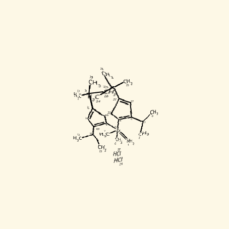 CC(C)C1=[C]([Zr]([CH3])([CH3])(=[SiH2])[C]2=C(C(C)C)C=C(C(C)(C)C)C2)CC(C(C)(C)C)=C1.Cl.Cl